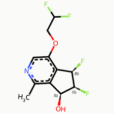 Cc1ncc(OCC(F)F)c2c1[C@H](O)[C@H](F)[C@@H]2F